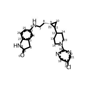 O=C1Cc2cc(NCC[C@@H]3CC3C3CCN(c4ncc(Cl)cn4)CC3)ccc2N1